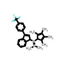 CC1=C(C)[CH]([Zr]([CH]2C=C(c3ccc(C(F)(F)F)cc3)c3ccccc32)=[Si](C)C)C(C)=C1C